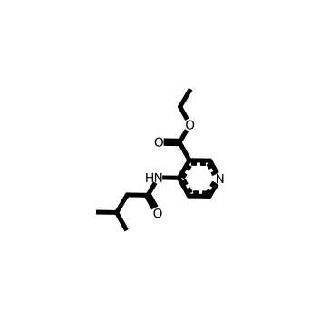 CCOC(=O)c1cnccc1NC(=O)CC(C)C